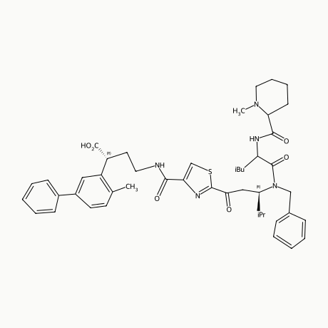 CCC(C)C(NC(=O)C1CCCCN1C)C(=O)N(Cc1ccccc1)[C@H](CC(=O)c1nc(C(=O)NCC[C@@H](C(=O)O)c2cc(-c3ccccc3)ccc2C)cs1)C(C)C